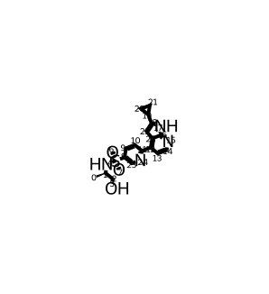 C[C@H](CO)NS(=O)(=O)c1ccc(-c2ccnc3[nH]c(C4CC4)cc23)nc1